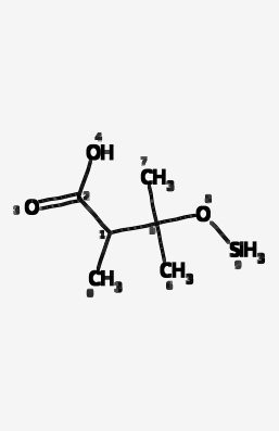 CC(C(=O)O)C(C)(C)O[SiH3]